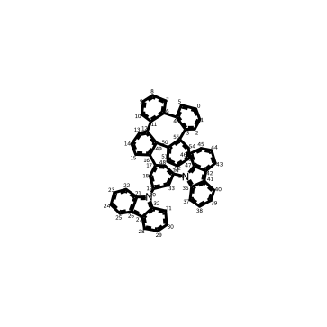 c1ccc2c(c1)-c1ccccc1-c1cccc(-c3cc(-n4c5ccccc5c5ccccc54)cc(-n4c5ccccc5c5ccccc54)c3)c1-c1ccccc1-2